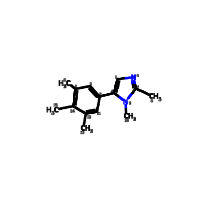 Cc1cc(-c2cnc(C)n2C)cc(C)c1C